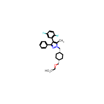 Cc1c(-c2cc(F)ccc2F)c(-c2ccccc2)nn1C[C@H]1CC[C@@H](COCC(=O)O)CC1